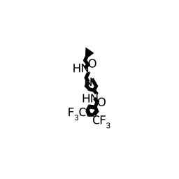 O=C(CC1CC1)NCCN1CCC(CNC(=O)c2cc(C(F)(F)F)cc(C(F)(F)F)c2)CC1